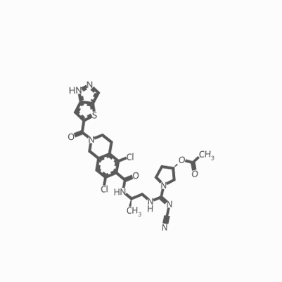 CC(=O)O[C@H]1CCN(/C(=N/C#N)NC[C@@H](C)NC(=O)c2c(Cl)cc3c(c2Cl)CCN(C(=O)c2cc4[nH]ncc4s2)C3)C1